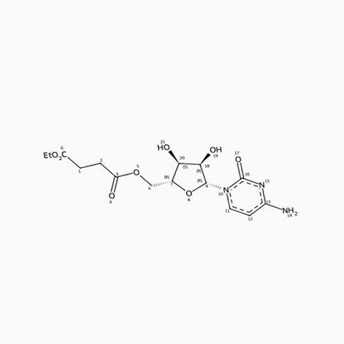 CCOC(=O)CCC(=O)OC[C@H]1O[C@@H](n2ccc(N)nc2=O)[C@H](O)[C@@H]1O